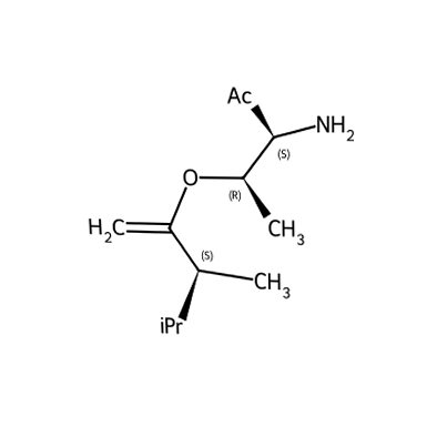 C=C(O[C@H](C)[C@H](N)C(C)=O)[C@@H](C)C(C)C